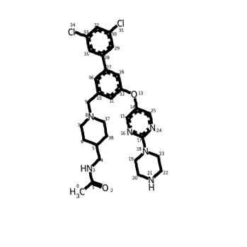 CC(=O)NCC1CCN(Cc2cc(Oc3cnc(N4CCNCC4)nc3)cc(-c3cc(Cl)cc(Cl)c3)c2)CC1